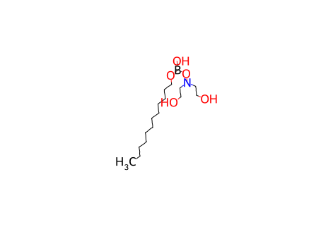 CCCCCCCCCCCCOB(O)ON(CCO)CCO